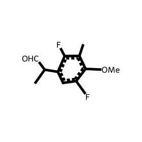 COc1c(F)cc(C(C)C=O)c(F)c1C